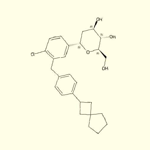 OC[C@H]1O[C@H](c2ccc(Cl)c(Cc3ccc(C4CC5(CCCC5)C4)cc3)c2)C[C@@H](O)[C@@H]1O